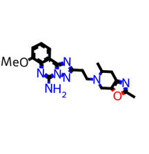 COc1cccc2c1nc(N)n1nc(CCN3Cc4oc(C)nc4CC3C)nc21